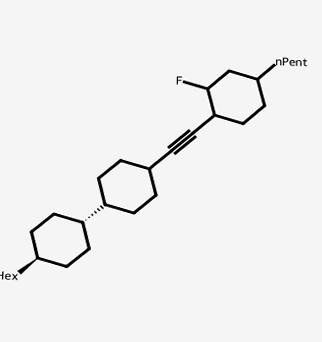 CCCCCC[C@H]1CC[C@H](C2CCC(C#CC3CCC(CCCCC)CC3F)CC2)CC1